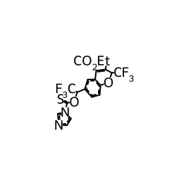 CCOC(=O)C1=Cc2cc(C(OC(=S)n3ccnc3)C(F)(F)F)ccc2OC1C(F)(F)F